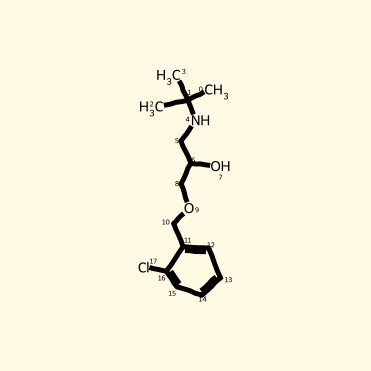 CC(C)(C)NCC(O)COCc1ccccc1Cl